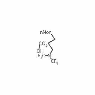 CCCCCCCCCCCCN(C(F)(F)F)C(F)(F)F.O=C(O)O